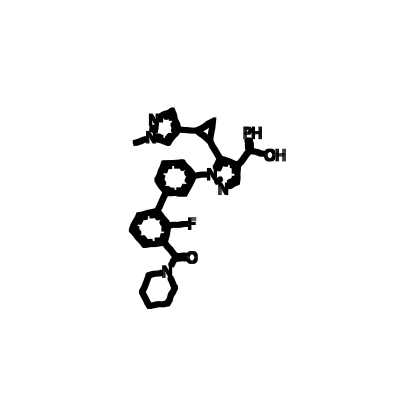 Cn1cc(C2CC2c2c(C(O)=P)cnn2-c2cccc(-c3cccc(C(=O)N4CCCCC4)c3F)c2)cn1